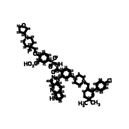 CC1(C)CCC(CN2CCN(c3ccc(C(=O)NS(=O)(=O)c4ccc(OCC5(F)CCN(C6CCOC6)CC5)c(C(=O)O)c4)c(-n4ncc5nc6[nH]ccc6cc54)c3)CC2)=C(c2ccc(Cl)cc2)C1